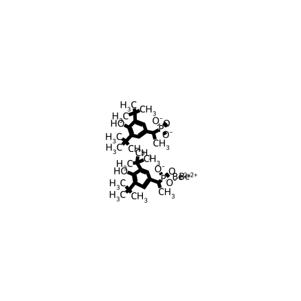 CC(c1cc(C(C)(C)C)c(O)c(C(C)(C)C)c1)P(=O)([O-])[O-].CC(c1cc(C(C)(C)C)c(O)c(C(C)(C)C)c1)P(=O)([O-])[O-].[Be+2].[Be+2]